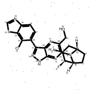 N[C@H]1C[C@@H]2CC[C@H]([C@H]1F)N2c1nc2[nH]nc(-c3ccc4ncsc4c3Cl)c2nc1CO